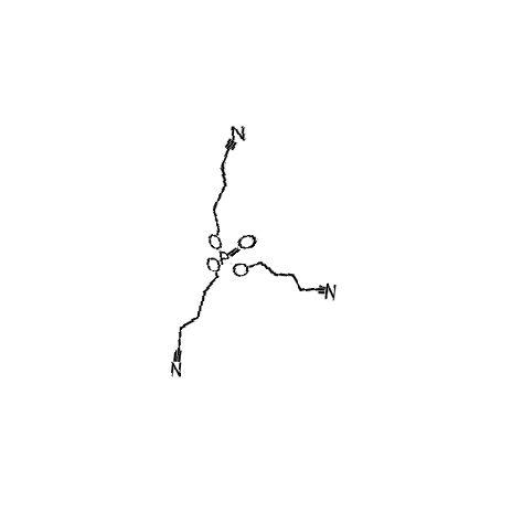 N#CCCCCOP(=O)(OCCCCC#N)OCCCCC#N